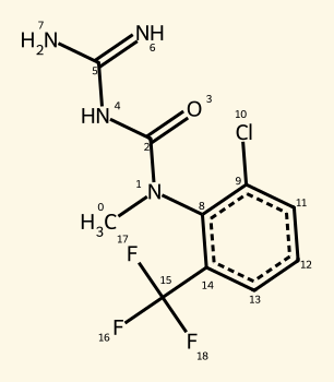 CN(C(=O)NC(=N)N)c1c(Cl)cccc1C(F)(F)F